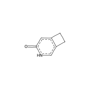 O=c1cc2c(c[nH]1)CC2